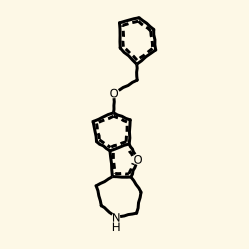 c1ccc(COc2ccc3c4c(oc3c2)CCNCC4)cc1